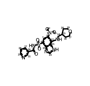 O=C(NS(=O)(=O)c1cc([N+](=O)[O-])c(NCC2CCOCC2)c2[nH]cnc12)c1cccnc1